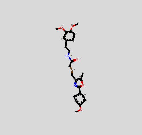 COc1ccc(-c2nc(CSCC(=O)NCCc3ccc(OC)c(OC)c3)c(C)o2)cc1